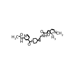 C=N/C=C\c1cc(C(=O)NCC2CC23CCN(C(=O)c2ccnc(NC(C)=O)c2)CC3)oc1C